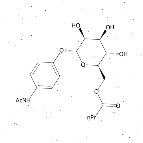 CCCC(=O)OC[C@H]1O[C@H](Oc2ccc(NC(C)=O)cc2)[C@@H](O)[C@@H](O)[C@@H]1O